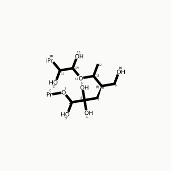 CC(C)OC(O)C(O)(O)C[C@H](CO)C(C)OC(O)C(O)C(C)C